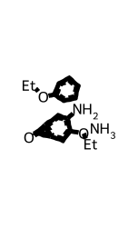 CCOc1cc2c(=O)c2cc1N.CCOc1ccccc1.N